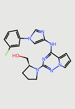 OC[C@@H]1CCCN1c1nc(Nc2cn(-c3cccc(F)c3)cn2)c2cccn2n1